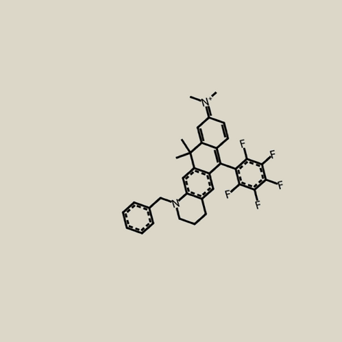 C[N+](C)=C1C=CC2=C(c3c(F)c(F)c(F)c(F)c3F)c3cc4c(cc3C(C)(C)C2=C1)N(Cc1ccccc1)CCC4